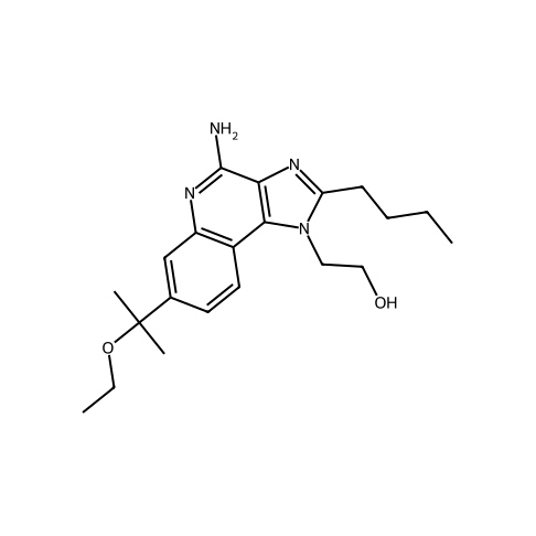 CCCCc1nc2c(N)nc3cc(C(C)(C)OCC)ccc3c2n1CCO